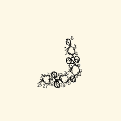 COc1ccc(S(=O)(=O)C2=CCC=C(Oc3ccc(S(=O)(=O)c4ccc(C)cc4)cc3)C=C2)cc1